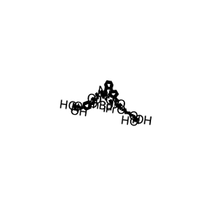 CCCCC(=O)N(Cc1ccc(-c2ccccc2-c2nnn(C(C)OC(=O)Oc3ccc(CON(O)O)cc3)n2)cc1)[C@H](C(=O)OCCCCON(O)O)C(C)C